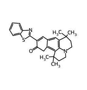 CC1(C)CCN2CCC(C)(C)c3c4c(cc1c32)C=C(c1nc2ccccc2s1)C(=O)C4